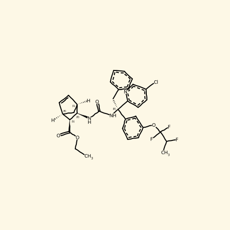 CCOC(=O)[C@@H]1[C@H](NC(=O)N[C@](Cc2ccccc2)(c2cccc(OC(F)(F)C(C)F)c2)c2ccc(Cl)cn2)[C@@H]2C=C[C@H]1C2